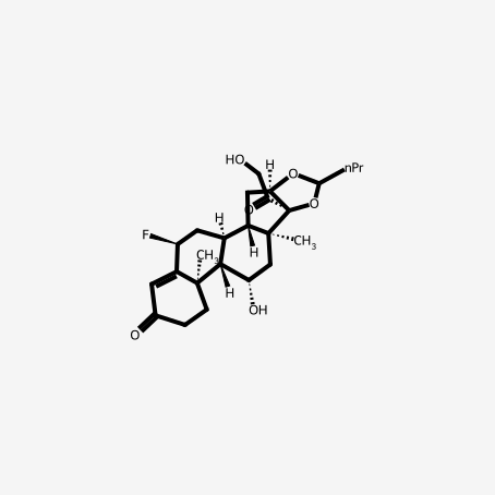 CCCC1O[C@@H]2C[C@H]3[C@@H]4C[C@H](F)C5=CC(=O)CC[C@]5(C)[C@H]4[C@@H](O)C[C@]3(C)[C@]2(C(=O)CO)O1